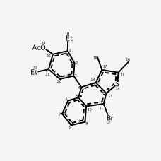 CCc1cc(-c2c3ccccc3c(Br)c3sc(C)c(C)c23)cc(CC)c1OC(C)=O